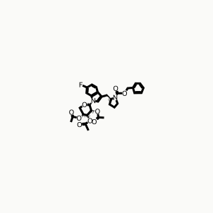 CC(=O)O[C@@H]1[C@@H](OC(C)=O)[C@H](OC(C)=O)CO[C@H]1n1cc(C[C@@H]2CCCN2C(=O)OCc2ccccc2)c2ccc(F)cc21